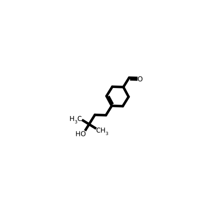 CC(C)(O)CCC1=CCC(C=O)CC1